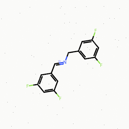 Fc1cc(F)cc(/C=N/Cc2cc(F)cc(F)c2)c1